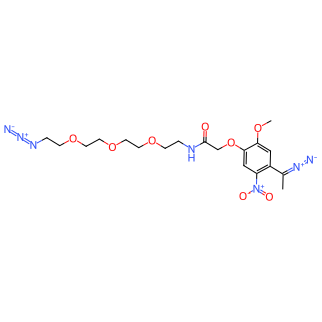 COc1cc(C(C)=[N+]=[N-])c([N+](=O)[O-])cc1OCC(=O)NCCOCCOCCOCCN=[N+]=[N-]